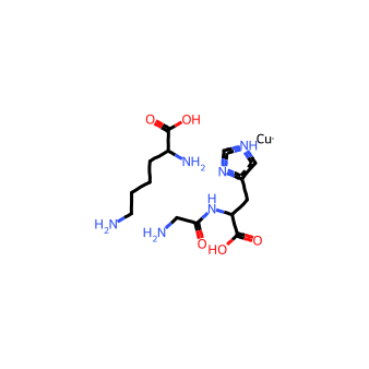 NCC(=O)NC(Cc1c[nH]cn1)C(=O)O.NCCCCC(N)C(=O)O.[Cu]